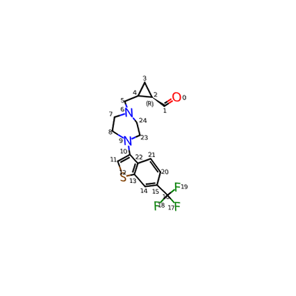 O=C[C@@H]1CC1CN1CCN(c2csc3cc(C(F)(F)F)ccc23)CC1